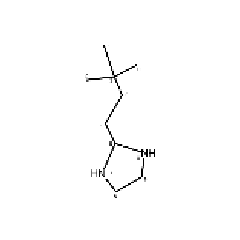 CC(C)(C)CCC1NCCN1